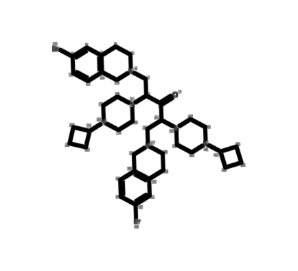 O=C(C(CN1CCc2cc(Br)ccc2C1)N1CCN(C2CCC2)CC1)C(CN1CCc2cc(Br)ccc2C1)N1CCN(C2CCC2)CC1